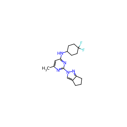 Cc1cc(NC2CCC(F)(F)CC2)nc(-n2cc3c(n2)CCC3)n1